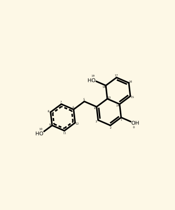 OC1=CC=C(Cc2ccc(O)cc2)C2C1=CC=CC2O